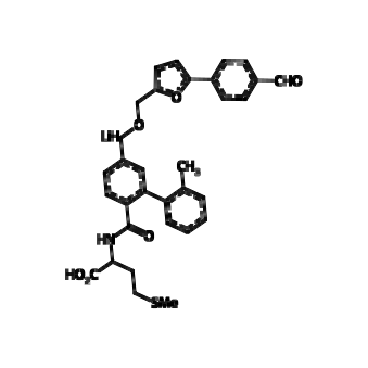 CSCCC(NC(=O)c1ccc(COCc2ccc(-c3ccc(C=O)cc3)o2)cc1-c1ccccc1C)C(=O)O.[LiH]